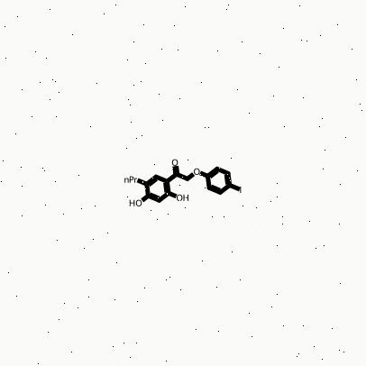 CCCc1cc(C(=O)COc2ccc(I)cc2)c(O)cc1O